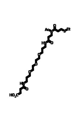 CCSCCC(=O)N(CCC(=O)NCCCOCCOCCOCCCNC(=O)CCC(=O)O)C(C)=O